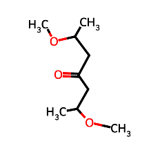 COC(C)CC(=O)CC(C)OC